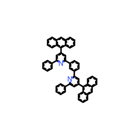 c1ccc(-c2cc(-c3c4ccccc4cc4ccccc34)cc(-c3cccc(-c4cc(-c5c6ccccc6cc6ccccc56)cc(-c5ccccc5)n4)c3)n2)cc1